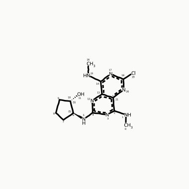 CNc1nc(N[C@H]2CCC[C@@H]2O)nc2c(NC)nc(Cl)nc12